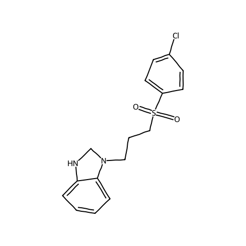 O=S(=O)(CCCN1CNc2ccccc21)c1ccc(Cl)cc1